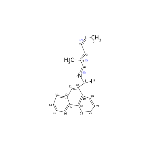 C\C=C/C=C(C)/C=N/C(I)c1cc2ccccc2c2c1C=CCC2